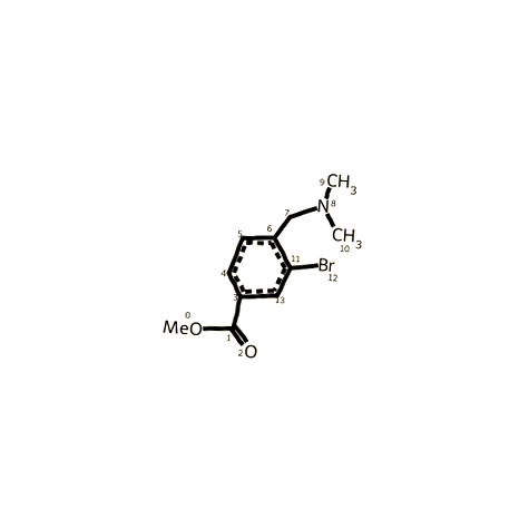 COC(=O)c1ccc(CN(C)C)c(Br)c1